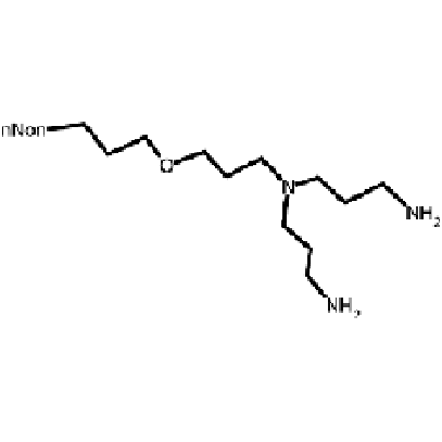 CCCCCCCCCCCCOCCCN(CCCN)CCCN